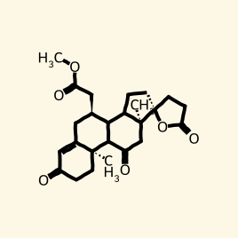 COC(=O)C[C@@H]1CC2=CC(=O)CC[C@]2(C)C2C(=O)C[C@@]3(C)C(CC[C@@]34CCC(=O)O4)C21